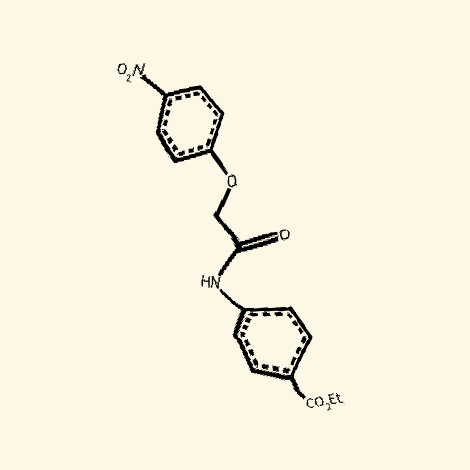 CCOC(=O)c1ccc(NC(=O)COc2ccc([N+](=O)[O-])cc2)cc1